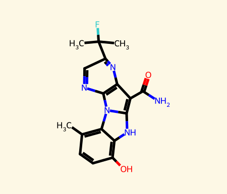 Cc1ccc(O)c2[nH]c3c(C(N)=O)c4nc(C(C)(C)F)cnc4n3c12